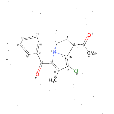 COC(=O)C1CCn2c(C(=O)c3ccccc3)c(C)c(Cl)c21